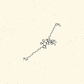 CCCCCCCCCCCCc1csc2c1C(=O)C(=O)c1c-2sc([Si](C)(C)C)c1CCCCCCCCCCCC